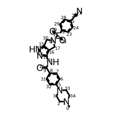 CN1CCN(c2ccc(C(=O)Nc3n[nH]c4c3CN(S(=O)(=O)c3ccc(C#N)cc3)C4)cc2)CC1